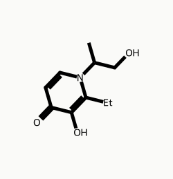 CCc1c(O)c(=O)ccn1C(C)CO